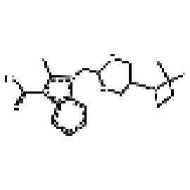 Cc1c(C(=O)O)c2ccccc2n1CC1OCC(N2CCC2(C)C)CO1